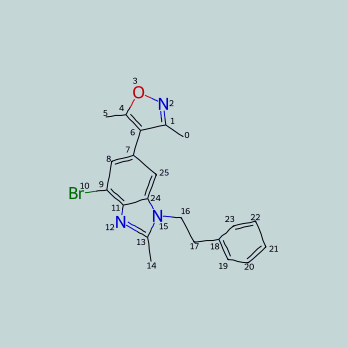 Cc1noc(C)c1-c1cc(Br)c2nc(C)n(CCc3ccccc3)c2c1